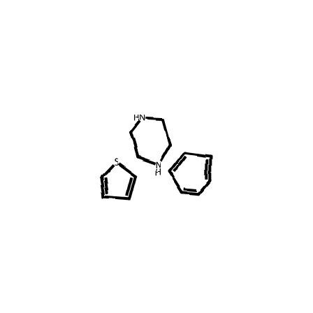 C1CNCCN1.c1ccccc1.c1ccsc1